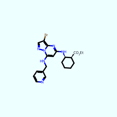 CCOC(=O)[C@H]1CCCC[C@H]1Nc1cc(NCc2cccnc2)n2ncc(Br)c2n1